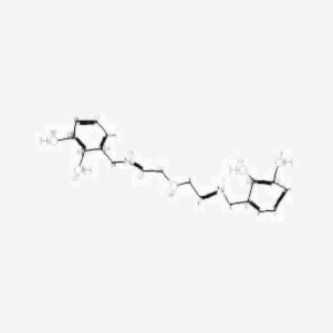 Oc1cccc(CN=CCOCC=NCc2cccc(O)c2O)c1O